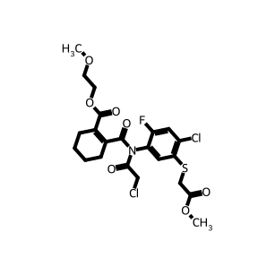 COCCOC(=O)C1=C(C(=O)N(C(=O)CCl)c2cc(SCC(=O)OC)c(Cl)cc2F)CCCC1